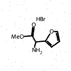 Br.COC(=O)C(N)c1ccco1